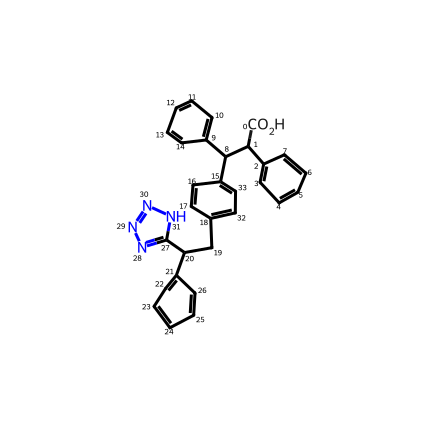 O=C(O)C(c1ccccc1)C(c1ccccc1)c1ccc(CC(c2ccccc2)c2nnn[nH]2)cc1